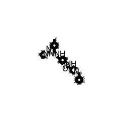 Cc1ccc2c(NCc3ccc(NC(=O)C4CCN(Cc5ccccc5)CC4)cc3)nc(N3CCCC3)nc2c1